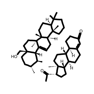 CC(=O)[C@H]1CC[C@H]2[C@@H]3CCC4=CC(=O)CC[C@@H]4[C@H]3CC[C@]12C.C[C@H]1[C@H](C)CC[C@]2(CO)CC[C@]3(C)C(=CC[C@@H]4[C@@]5(C)CCCC(C)(C)[C@@H]5CC[C@]43C)[C@H]12